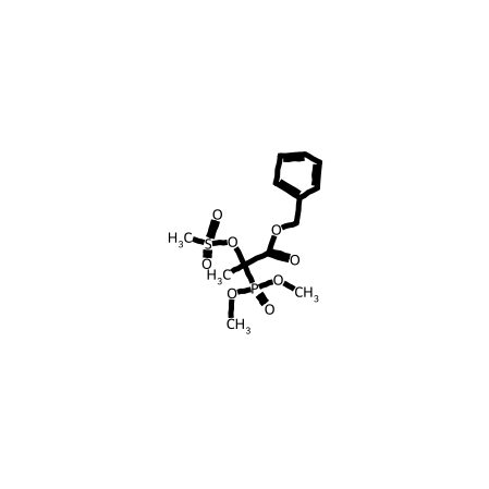 COP(=O)(OC)C(C)(OS(C)(=O)=O)C(=O)OCc1ccccc1